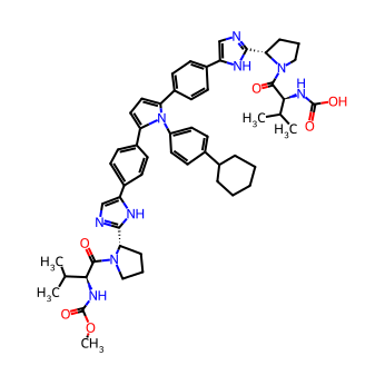 COC(=O)N[C@H](C(=O)N1CCC[C@H]1c1ncc(-c2ccc(-c3ccc(-c4ccc(-c5cnc([C@@H]6CCCN6C(=O)[C@@H](NC(=O)O)C(C)C)[nH]5)cc4)n3-c3ccc(C4CCCCC4)cc3)cc2)[nH]1)C(C)C